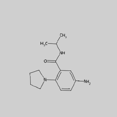 CC(C)NC(=O)c1cc(N)ccc1N1CCCC1